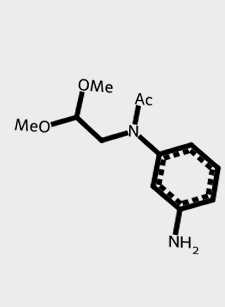 COC(CN(C(C)=O)c1cccc(N)c1)OC